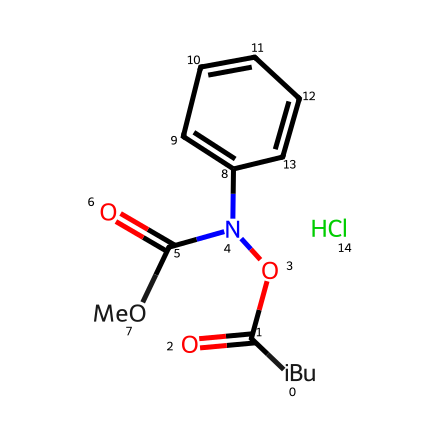 CCC(C)C(=O)ON(C(=O)OC)c1ccccc1.Cl